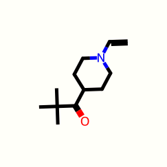 C=CN1CCC(C(=O)C(C)(C)C)CC1